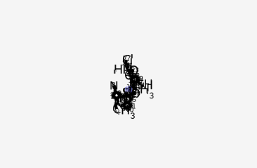 CCNc1ccc(C#N)cc1N=C1S/C(=C/N(C)c2cc(OC(=O)NCCCl)ccc2S)C(=O)N1Cc1ccccc1